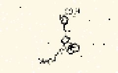 COCCOCOc1ccc(C(C)=Cc2ccc(C(=O)O)nc2)cc1C12CC3CC(CC(C3)C1)C2